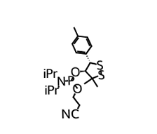 Cc1ccc([C@@H]2SSC(C)(C)[C@H]2OP(OCCC#N)N(C(C)C)C(C)C)cc1